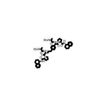 CN[C@@H](C)C(=O)N[C@@H](CCCc1ccc([C@H](NC(=O)[C@H](C)NC)C(=O)N2CCC[C@H]2C(=O)N[C@@H]2CCCc3ccccc32)cc1)C(=O)N1CCCC1C(=O)N[C@@H]1CCCc2ccccc21